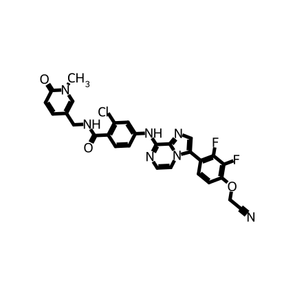 Cn1cc(CNC(=O)c2ccc(Nc3nccn4c(-c5ccc(OCC#N)c(F)c5F)cnc34)cc2Cl)ccc1=O